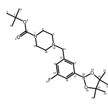 CC(C)(C)OC(=O)N1CCN(Cc2cc(F)cc(B3OC(C)(C)C(C)(C)O3)c2)CC1